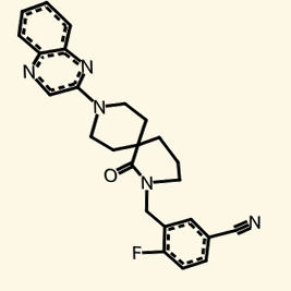 N#Cc1ccc(F)c(CN2CCCC3(CCN(c4cnc5ccccc5n4)CC3)C2=O)c1